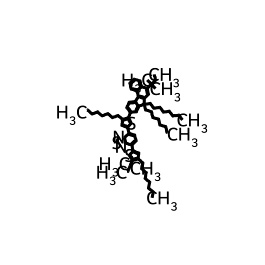 CCCCCCCCc1cc(-c2ccc(-c3cc(CCCCCCCC)c(C(C)(C)CC)s3)c3nsnc23)sc1-c1ccc2c(c1)C(CCCCCCCC)(CCCCCCCC)c1cc(C(C)(C)CC)c3ccccc3c1-2